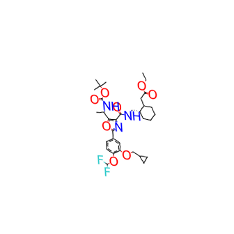 CCOC(=O)CC1CCCC[C@@H]1CNC(=O)c1nc(-c2ccc(OC(F)F)c(OCC3CC3)c2)oc1C(C)NC(=O)OC(C)(C)C